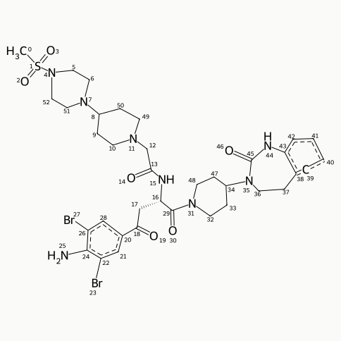 CS(=O)(=O)N1CCN(C2CCN(CC(=O)N[C@@H](CC(=O)c3cc(Br)c(N)c(Br)c3)C(=O)N3CCC(N4CCc5ccccc5NC4=O)CC3)CC2)CC1